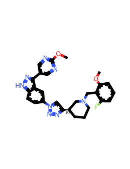 COc1ncc(-c2n[nH]c3ccc(-n4cc([C@@H]5CCCN(Cc6c(F)cccc6OC)C5)nn4)cc23)cn1